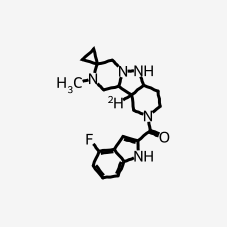 [2H]C12CN(C(=O)c3cc4c(F)cccc4[nH]3)CCC1NN1CC3(CC3)N(C)CC12